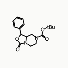 CC(C)(C)OC(=O)N1CCN2C(=O)OC(c3ccccc3)C2C1